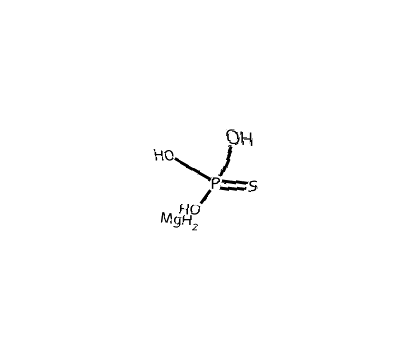 OP(O)(O)=S.[MgH2]